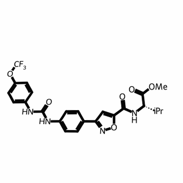 COC(=O)[C@@H](NC(=O)c1cc(-c2ccc(NC(=O)Nc3ccc(OC(F)(F)F)cc3)cc2)no1)C(C)C